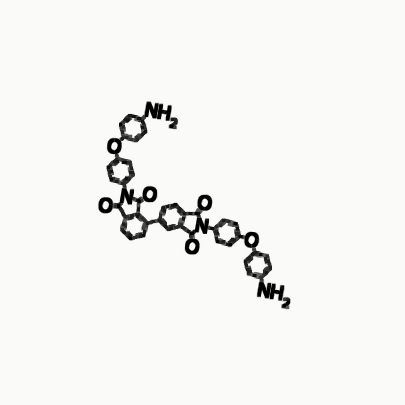 Nc1ccc(Oc2ccc(N3C(=O)c4ccc(-c5cccc6c5C(=O)N(c5ccc(Oc7ccc(N)cc7)cc5)C6=O)cc4C3=O)cc2)cc1